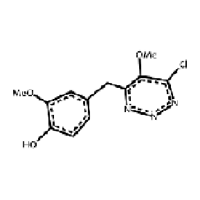 COc1cc(Cc2nnnc(Cl)c2OC)ccc1O